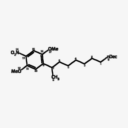 CCCCCCCCCCCCCCCCC(C)c1cc(OC)c([N+](=O)[O-])cc1OC